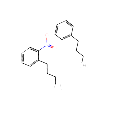 CCCCc1ccccc1.CCCCc1ccccc1[N+](=O)[O-]